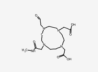 CNC(=O)CN1CCN(CC=O)CCN(CC(=O)O)CCN(CC(=O)O)CC1